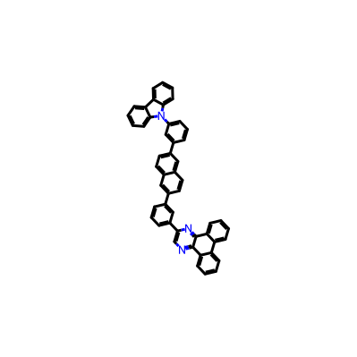 c1cc(-c2ccc3cc(-c4cccc(-n5c6ccccc6c6ccccc65)c4)ccc3c2)cc(-c2cnc3c4ccccc4c4ccccc4c3n2)c1